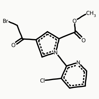 COC(=O)c1cc(C(=O)CBr)cn1-c1ncccc1Cl